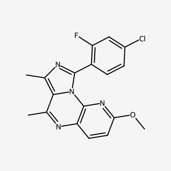 COc1ccc2nc(C)c3c(C)nc(-c4ccc(Cl)cc4F)n3c2n1